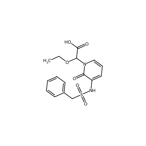 CCOC(C(=O)O)n1cccc(NS(=O)(=O)Cc2ccccc2)c1=O